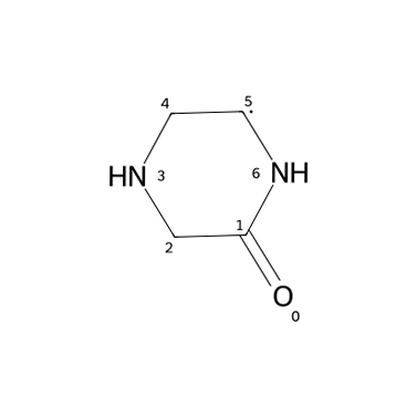 O=C1CNC[CH]N1